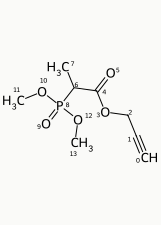 C#CCOC(=O)C(C)P(=O)(OC)OC